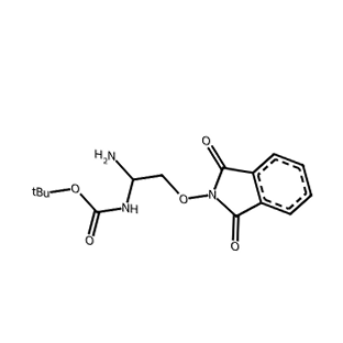 CC(C)(C)OC(=O)NC(N)CON1C(=O)c2ccccc2C1=O